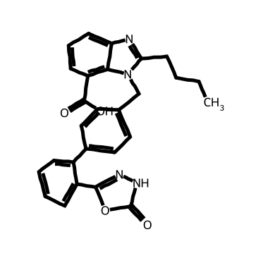 CCCCc1nc2cccc(C(=O)O)c2n1Cc1ccc(-c2ccccc2-c2n[nH]c(=O)o2)cc1